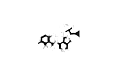 Cc1ccc(F)c(C(=O)Nc2cncc3c2C(=O)N(C(C2CC2)C(C)(C)O)C3)c1Cl